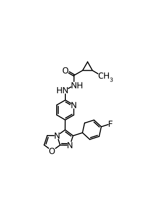 CC1CC1C(=O)NNc1ccc(-c2c(C3C=CC(F)=CC3)nc3occn23)cn1